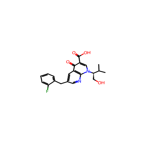 CC(C)[C@@H](CO)n1cc(C(=O)O)c(=O)c2cc(Cc3ccccc3F)cnc21